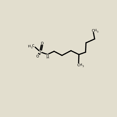 CCCCC(C)CCCNS(C)(=O)=O